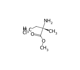 CC[C@](C)(N)C(=O)OC.Cl